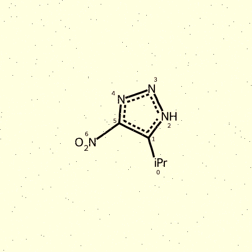 CC(C)c1[nH]nnc1[N+](=O)[O-]